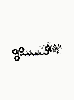 C/C(=C\CC[C@@H]1CCc2c(C)c(O[Si](C)(C)C(C)(C)C)c(C)c(C)c2O1)CC/C=C(\C)CCC[PH](c1ccccc1)(c1ccccc1)c1ccccc1